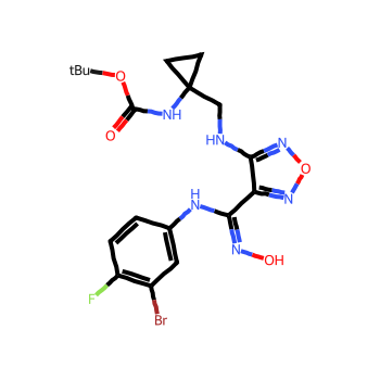 CC(C)(C)OC(=O)NC1(CNc2nonc2C(=NO)Nc2ccc(F)c(Br)c2)CC1